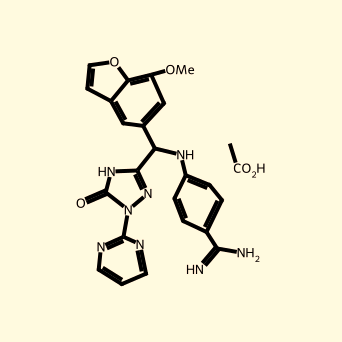 CC(=O)O.COc1cc(C(Nc2ccc(C(=N)N)cc2)c2nn(-c3ncccn3)c(=O)[nH]2)cc2ccoc12